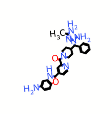 C/C(N)=N/N(N)C(c1ccccc1)C1CCN(C(=O)c2cc(C3Nc4cc(N)ccc4O3)ccn2)CC1